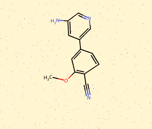 COc1cc(-c2cncc(N)c2)ccc1C#N